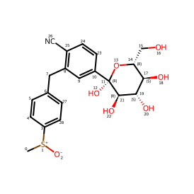 C[S+]([O-])c1ccc(Cc2cc([C@@]3(O)O[C@H](CO)[C@@H](O)[C@H](O)[C@H]3O)ccc2C#N)cc1